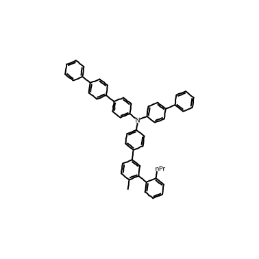 CCCc1ccccc1-c1cc(-c2ccc(N(c3ccc(-c4ccccc4)cc3)c3ccc(-c4ccc(-c5ccccc5)cc4)cc3)cc2)ccc1C